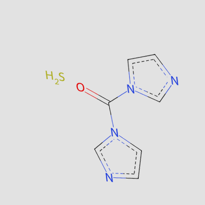 O=C(n1ccnc1)n1ccnc1.S